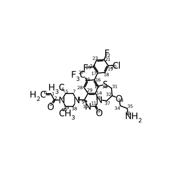 C=CC(=O)N1[C@H](C)CN(c2nc(=O)n3c4c(c(-c5cc(Cl)c(F)cc5F)c(C(F)(F)F)cc24)SCC(OCCN)C3)C[C@@H]1C